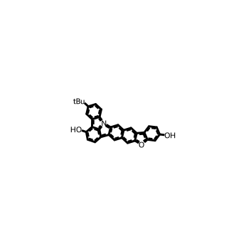 CC(C)(C)c1ccc2c(c1)c1c(O)ccc3c4cc5cc6oc7cc(O)ccc7c6cc5cc4n2c31